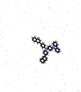 c1ccc2cc(-c3ccc(N(c4ccc(-c5ccc6ccccc6c5)cc4)c4ccc(-n5c6ccccc6c6ccccc65)cc4)cc3)ccc2c1